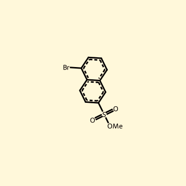 COS(=O)(=O)c1ccc2c(Br)cccc2c1